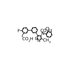 CCOC(=O)N(c1ccccc1Cl)c1c(C)noc1-c1cccc(-c2ccc(F)c(CC(=O)O)c2)c1